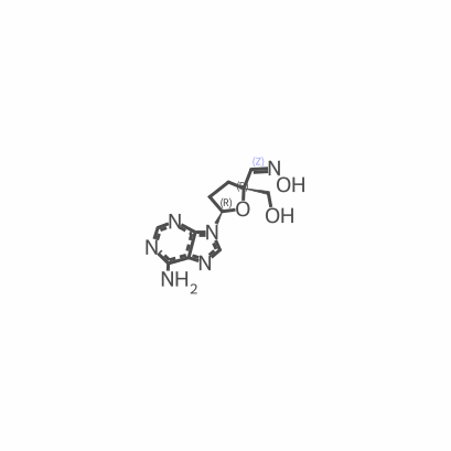 Nc1ncnc2c1ncn2[C@H]1CC[C@@](/C=N\O)(CO)O1